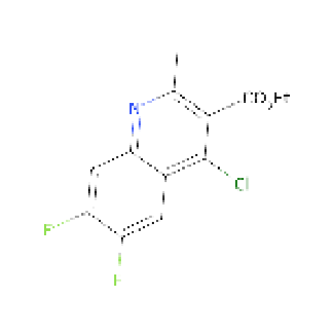 CCOC(=O)c1c(C)nc2cc(F)c(F)cc2c1Cl